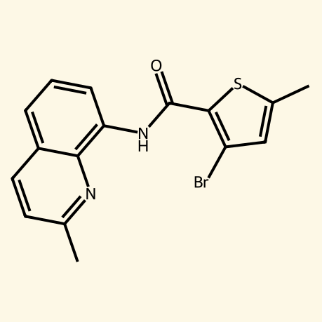 Cc1ccc2cccc(NC(=O)c3sc(C)cc3Br)c2n1